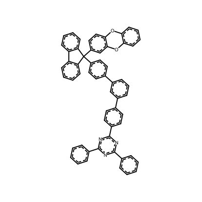 c1ccc(-c2nc(-c3ccccc3)nc(-c3ccc(-c4cccc(-c5ccc(C6(c7ccc8c(c7)Oc7ccccc7O8)c7ccccc7-c7ccccc76)cc5)c4)cc3)n2)cc1